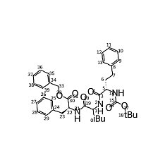 CCC(C)C(NC(=O)[C@H](CCc1ccccc1)NC(=O)OC(C)(C)C)C(=O)N[C@@H](Cc1ccccc1)C(=O)OCc1ccccc1